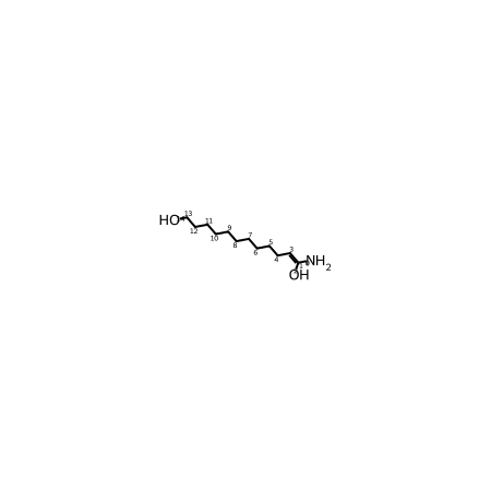 NC(O)=CCCCCCCCCCCO